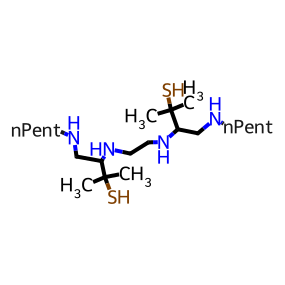 CCCCCNCC(NCCNC(CNCCCCC)C(C)(C)S)C(C)(C)S